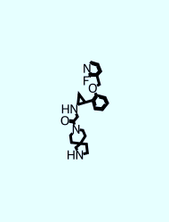 O=C(CNC1CC1c1ccccc1OCc1cccnc1F)N1CCC2(CCNC2)CC1